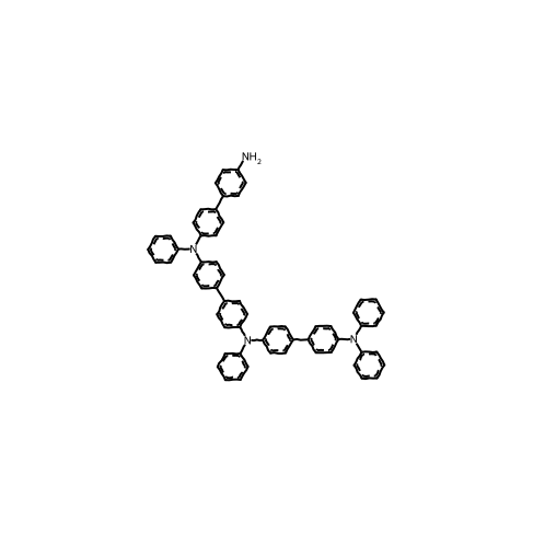 Nc1ccc(-c2ccc(N(c3ccccc3)c3ccc(-c4ccc(N(c5ccccc5)c5ccc(-c6ccc(N(c7ccccc7)c7ccccc7)cc6)cc5)cc4)cc3)cc2)cc1